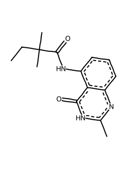 CCC(C)(C)C(=O)Nc1cccc2nc(C)[nH]c(=O)c12